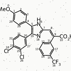 COc1ccc(-c2[nH]c(C=C(C(=O)O)c3cccc(C(F)(F)F)c3)nc2-c2ccc(Cl)c(Cl)c2)cc1